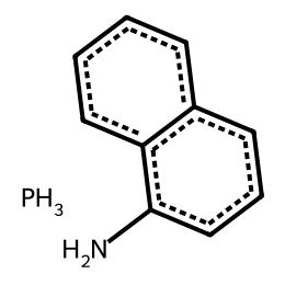 Nc1cccc2ccccc12.P